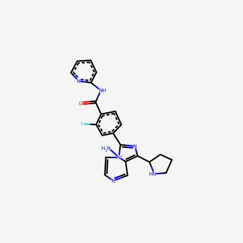 N[N+]12C=CN=CC1=C(C1CCCN1)N=C2c1ccc(C(=O)Nc2ccccn2)c(F)c1